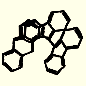 C1=CC2(C=CC=C3C2=C(c2cccc4cc5ccccc5cc24)c2ccccc23)C2=Cc3ccccc3C2=C1